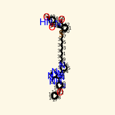 Nc1ncnc2c1c(-c1ccc(Oc3ccccc3)cc1)nn2C1CCCN(CCCCCCCCCCSc2cccc3c2CN(C2CCC(=O)NC2=O)C3=O)C1